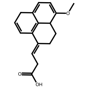 COC1=CC=C2CC=CC3=C2C1CCC3=CCC(=O)O